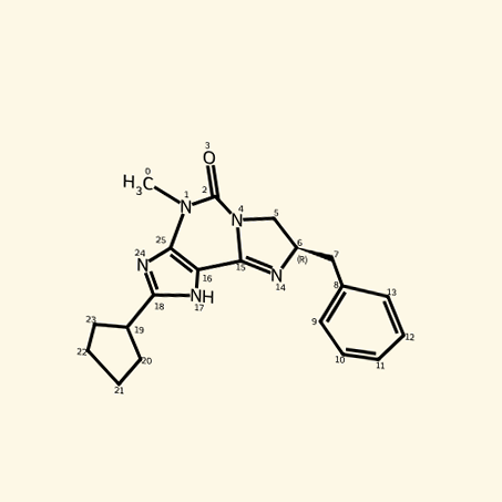 CN1C(=O)N2C[C@@H](Cc3ccccc3)N=C2c2[nH]c(C3CCCC3)nc21